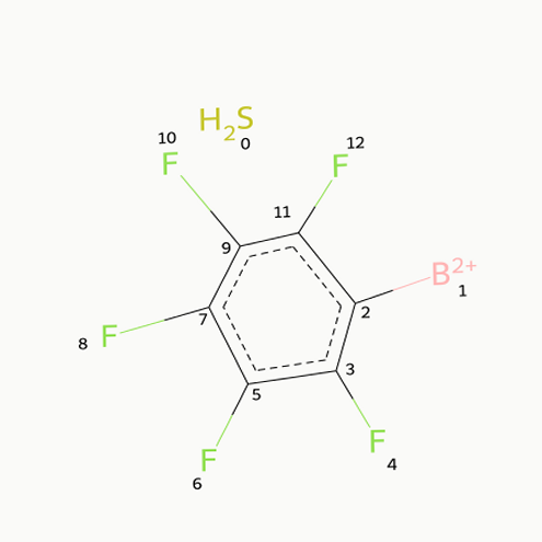 S.[B+2]c1c(F)c(F)c(F)c(F)c1F